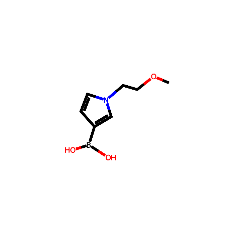 COCCn1ccc(B(O)O)c1